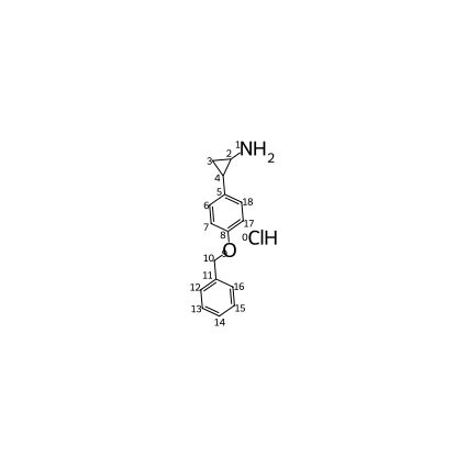 Cl.NC1CC1c1ccc(OCc2ccccc2)cc1